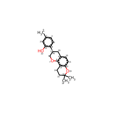 Cc1ccc([C@@H]2COc3c(ccc4c3CCC(C)(C)O4)C2)c(O)c1